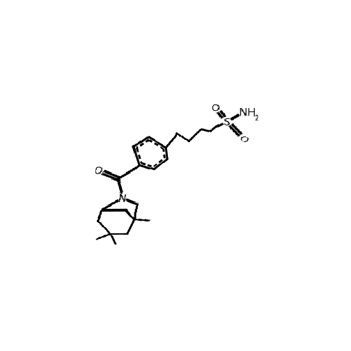 CC1(C)CC2CC(C)(CN2C(=O)c2ccc(CCCCS(N)(=O)=O)cc2)C1